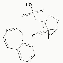 C1=Cc2ccccc2CC=N1.CC1(C)C2CCC1(CS(=O)(=O)O)C(=O)C2